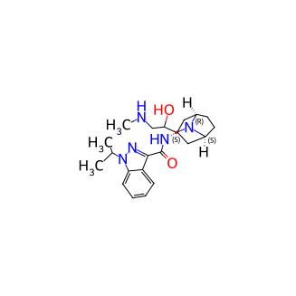 CNCC(O)CN1[C@@H]2CC[C@H]1C[C@H](NC(=O)c1nn(C(C)C)c3ccccc13)C2